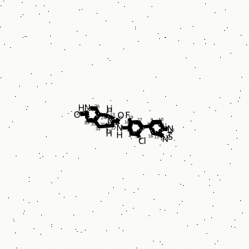 O=C(Nc1cc(Cl)c(-c2ccc3nsnc3c2)cc1F)N1[C@H]2CC[C@@H]1c1c[nH]c(=O)cc1C2